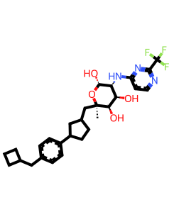 C[C@]1(CC2CCC(c3ccc(CC4CCC4)cc3)C2)O[C@H](O)[C@H](Nc2ccnc(C(F)(F)F)n2)[C@@H](O)[C@H]1O